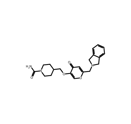 NC(=O)N1CCC(COc2coc(CN3Cc4ccccc4C3)cc2=O)CC1